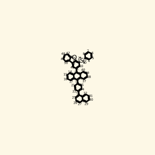 C[Si](C)(c1ccccc1)c1cc(-c2c3ccccc3c(-c3ccc(-c4cccc5ccccc45)cc3)c3ccccc23)cc2c1oc1ccccc12